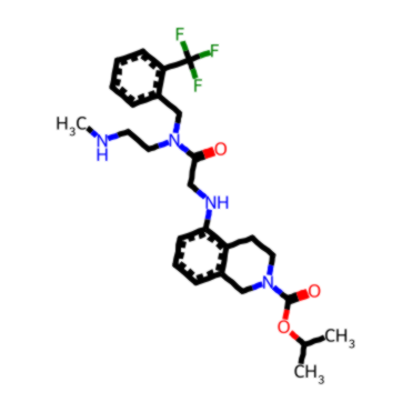 CNCCN(Cc1ccccc1C(F)(F)F)C(=O)CNc1cccc2c1CCN(C(=O)OC(C)C)C2